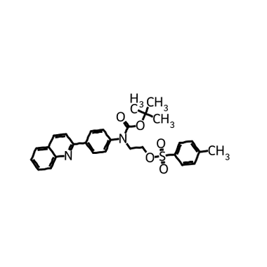 Cc1ccc(S(=O)(=O)OCCN(C(=O)OC(C)(C)C)c2ccc(-c3ccc4ccccc4n3)cc2)cc1